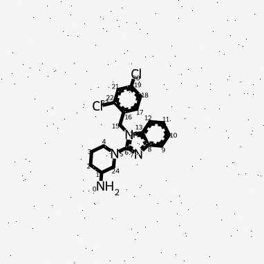 NC1CCCN(c2nc3ccccc3n2Cc2ccc(Cl)cc2Cl)C1